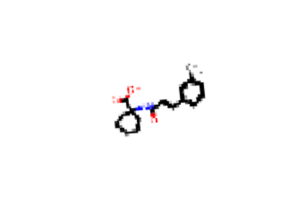 Cc1cccc(C=CC(=O)NC2(C(=O)O)CCCCC2)c1